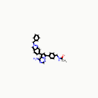 CC(=O)NCc1ccc(-c2cc(-c3ccc4cn(Cc5ccccc5)nc4c3)c3c(N)ncnn23)cc1